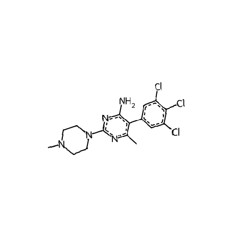 Cc1nc(N2CCN(C)CC2)nc(N)c1-c1cc(Cl)c(Cl)c(Cl)c1